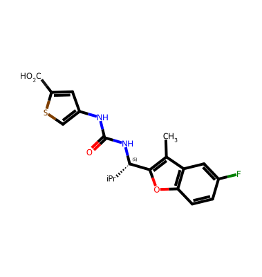 Cc1c([C@@H](NC(=O)Nc2csc(C(=O)O)c2)C(C)C)oc2ccc(F)cc12